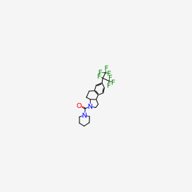 O=C(N1CCCCC1)N1CCC2c3ccc(C(F)(C(F)(F)F)C(F)(F)F)cc3CCC21